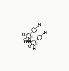 COc1cc(-c2ccc(C#N)cc2)n[nH]c1=O.N#Cc1ccc(-c2cc(O)c(=O)[nH]n2)cc1